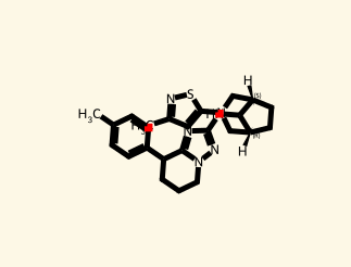 Cc1ccc(C2CCCn3nc(NC4[C@@H]5CC[C@H]4CN(c4cc(C)ns4)C5)nc32)cc1